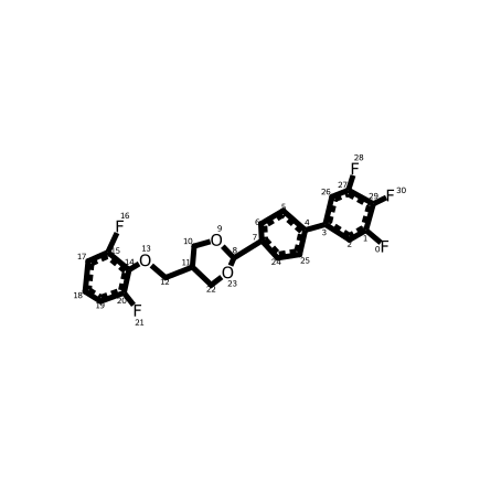 Fc1cc(-c2ccc(C3OCC(COc4c(F)cccc4F)CO3)cc2)cc(F)c1F